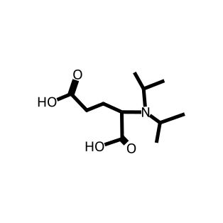 CC(C)N(C(C)C)C(CCC(=O)O)C(=O)O